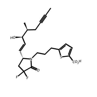 CC#CC[C@H](C)[C@H](O)C=C[C@H]1CC(F)(F)C(=O)N1CCCc1ccc(C(=O)O)s1